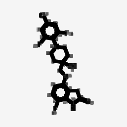 O=C1Cc2c(OCC3(O)CCN(c4c(F)cc(Cl)cc4F)CC3)ccc(F)c2N1